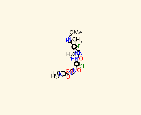 COCCn1ncc(-c2ccc(-c3cnc(C(=O)Nc4ccc(C(=O)N5CCN(C(=O)C6(O)CC[N+](C)(C)CC6)CC5)c(Cl)c4)n3C)c(F)c2F)c1C